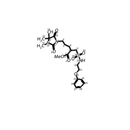 COC(=O)C(CCCN1C(=O)N(C)C(C)(C)C1=O)CS(=O)(=O)NCCOc1ccccc1